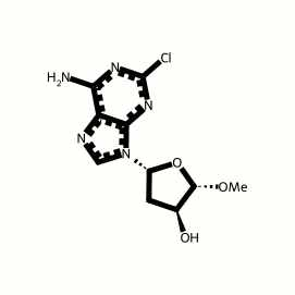 CO[C@H]1O[C@@H](n2cnc3c(N)nc(Cl)nc32)C[C@@H]1O